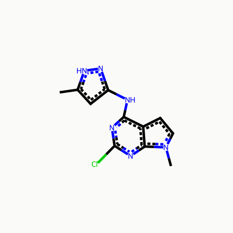 Cc1cc(Nc2nc(Cl)nc3c2ccn3C)n[nH]1